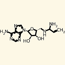 C=CC(N)NC[C@H]1O[C@@H](n2cnc3c(N)ncnc32)[C@H](O)[C@@H]1O